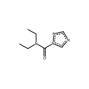 CCN(CC)C(=O)n1cncn1